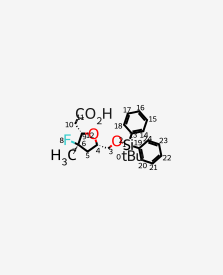 CC(C)(C)[Si](OC[C@@H]1C[C@@](C)(F)[C@H](CC(=O)O)O1)(c1ccccc1)c1ccccc1